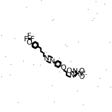 O=[N+]([O-])c1cn2c(n1)OC(COc1ccc(N3CCN(CCCCc4ccc(OC(F)(F)F)cc4)CC3)cc1)CC2